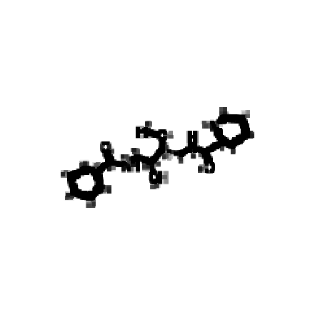 CCO[C@H](CNC(=O)c1ccccn1)[C@@H](O)CNC(=O)c1ccccc1